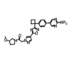 CO[C@@H]1CCN(C(=O)Cn2cc(-c3nc(C4(c5ccc(-c6cnc(N)nc6)cc5)CCC4)no3)cn2)C1